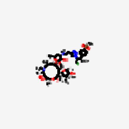 CC[C@H]1OC(=O)[C@H](C)C([C@H]2C[C@@](C)(OC)[C@@H](O)[C@H](C)O2)[C@H](C)[C@@H](O[C@@H]2O[C@H](C)C[C@H](N(C)CCc3cn([C@H](CF)[C@H](OC)c4ccc(S(=O)(=O)NC)cc4)nn3)[C@H]2O)[C@](C)(O)C[C@@H](C)CN(C)[C@H](C)[C@@H](O)[C@]1(C)O